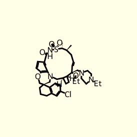 CCO[C@@]1(CN2CCN(CC)CC2)/C=C/C[C@H](C)[C@@H](C)S(=O)(=O)NC(=O)c2ccc3c(c2)N(C[C@@H]2CC[C@H]21)C[C@@]1(CCCc2cc(Cl)ccc21)CO3